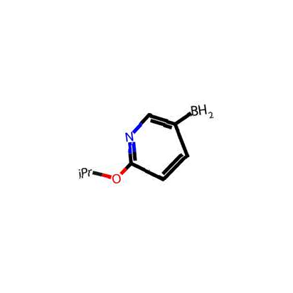 Bc1ccc(OC(C)C)nc1